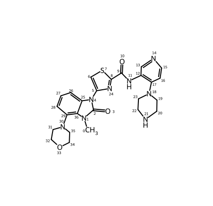 Cn1c(=O)n(-c2csc(C(=O)Nc3cnccc3N3CCNCC3)n2)c2cccc(N3CCOCC3)c21